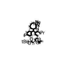 CC(C)c1nc2c(c(-c3ccc(F)cc3)c1/C=C/[C@@H]1C[C@H](CC(=O)OC(C)(C)C)OC(C)(C)O1)CCCCn1nnnc1-2